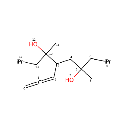 C=C=CC(CC(C)(O)CC(C)C)C(C)(O)CC(C)C